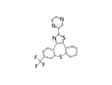 FC(F)(F)c1ccc2c(c1)Sc1ccccc1-c1sc(-c3cnccn3)nc1-2